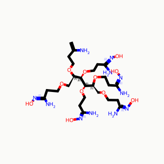 C=C(N)CCO[C@H](COCC/C(N)=N/O)[C@@H](OCC/C(N)=N/O)[C@H](OCC/C(N)=N\O)[C@H](COCC/C(N)=N\O)OCC/C(N)=N\O